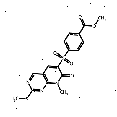 COC(=O)c1ccc(S(=O)(=O)c2cc3cnc(SC)nc3n(C)c2=O)cc1